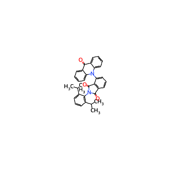 CC(C)c1cccc(C(C)C)c1N1C(=O)c2cccc(-n3c4ccccc4c(=O)c4ccccc43)c2C1=O